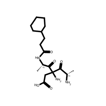 C[C@H](N)C(=O)C(N)(CC(=O)O)C(=O)[C@H](C)NC(=O)CCC1CCCCC1